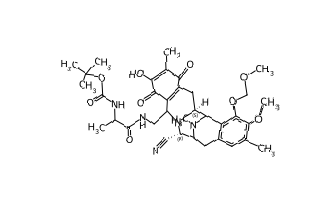 COCOc1c(OC)c(C)cc2c1C1[C@@H]3CC4=C(C(=O)C(O)=C(C)C4=O)C(CNC(=O)C(C)NC(=O)OC(C)(C)C)N3[C@@H](C#N)C(C2)N1C